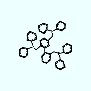 c1ccc(P(Cc2ccc(CP(c3ccccc3)c3ccccc3)c(-c3ccccc3CP(c3ccccc3)c3ccccc3)c2)c2ccccc2)cc1